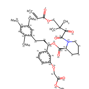 C=CC(=O)OCC(C)(C)C(=O)C(=O)N1CCCC[C@H]1C(=O)O[C@H](CCc1cc(OC)c(OC)cc1OC)c1cccc(OCC(=O)OC(C)(C)C)c1